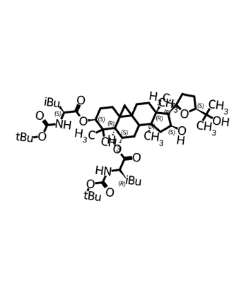 CCC(C)[C@H](NC(=O)OC(C)(C)C)C(=O)O[C@H]1CCC23CC24CC[C@]2(C)[C@@H]([C@@]5(C)CC[C@@H](C(C)(C)O)O5)[C@@H](O)C[C@@]2(C)C4C[C@H](OC(=O)C(NC(=O)OC(C)(C)C)[C@H](C)CC)[C@H]3C1(C)C